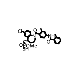 COP(=O)(S)OC1CCCN(C(=O)c2ccc(NC(=O)c3ccccc3C)cc2C)c2ccc(Cl)cc21